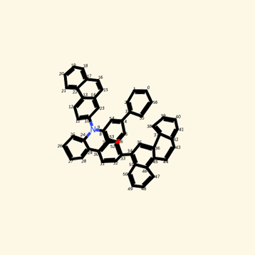 c1ccc(-c2cccc(N(c3ccc4c(ccc5ccccc54)c3)c3ccccc3-c3ccc(-c4cc5c6ccccc6ccc5c5ccccc45)cc3)c2)cc1